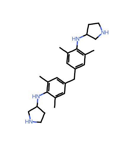 Cc1cc(Cc2cc(C)c(NC3CCNC3)c(C)c2)cc(C)c1NC1CCNC1